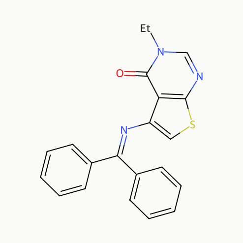 CCn1cnc2scc(N=C(c3ccccc3)c3ccccc3)c2c1=O